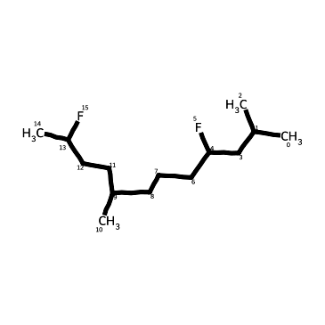 CC(C)CC(F)CCCC(C)CCC(C)F